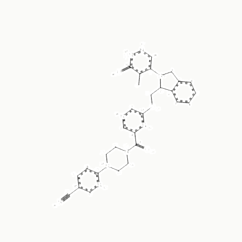 Cc1c(N2Cc3ccccc3C2COc2cncc(C(=O)N3CCN(c4ccc(C#N)cn4)CC3)n2)cn[nH]c1=O